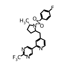 C[C@H]1CCC(Cc2ccnc(-c3cnc(C(F)(F)F)nc3)c2)N1S(=O)(=O)c1ccc(F)cc1